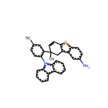 CC1(c2cc(C#N)ccc2-n2c3ccccc3c3ccccc32)C=Cc2sc3ccc(N)cc3c2C1